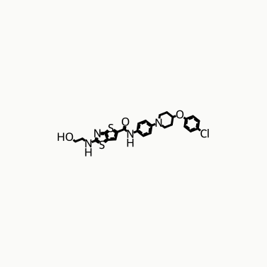 O=C(Nc1ccc(N2CCC(Oc3ccc(Cl)cc3)CC2)cc1)c1cc2sc(NCCO)nc2s1